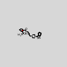 NC(=O)C1C2CCC(C2)C1C(=O)NCC#CCN1CCN(c2nsc3ccccc23)CC1